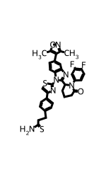 Cc1noc(C)c1-c1ccc2c(c1)nc(C1CCCC(=O)N1c1ccc(F)c(F)c1)n2-c1nc(-c2ccc(CCC(N)=S)cc2)cs1